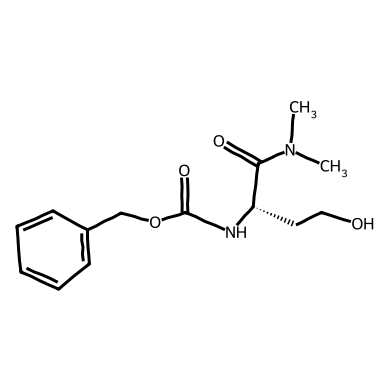 CN(C)C(=O)[C@H](CCO)NC(=O)OCc1ccccc1